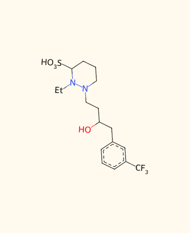 [CH2]CN1C(S(=O)(=O)O)CCCN1CCC(O)Cc1cccc(C(F)(F)F)c1